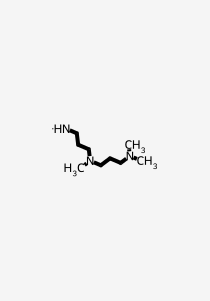 CN(C)CCCN(C)CCC[NH]